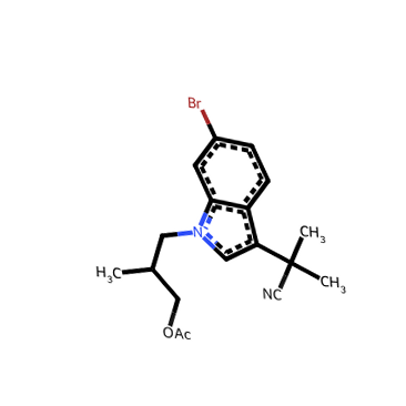 CC(=O)OCC(C)Cn1cc(C(C)(C)C#N)c2ccc(Br)cc21